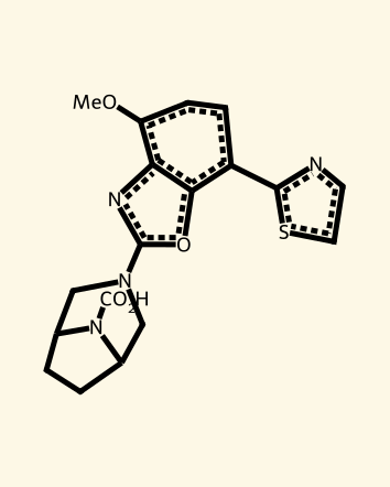 COc1ccc(-c2nccs2)c2oc(N3CC4CCC(C3)N4C(=O)O)nc12